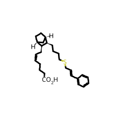 O=C(O)CCC/C=C\C[C@H]1[C@H]2CC[C@H](C2)[C@H]1CCCCSCC=Cc1ccccc1